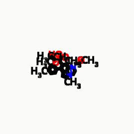 COCCN1CCn2c(C)cc3c(-c4ccc(C)cc4)c([C@H](OC(C)(C)C)C(=O)O)c(C)c1c32